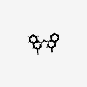 Cc1cc2ccccc2[n+](C[n+]2cc(C)cc3ccccc32)c1